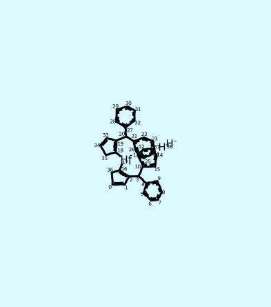 C1=CC(C(c2ccccc2)c2ccccc2)=[C]([Hf][C]2=C(C(c3ccccc3)c3ccccc3)C=CC2)C1.[H-].[H-]